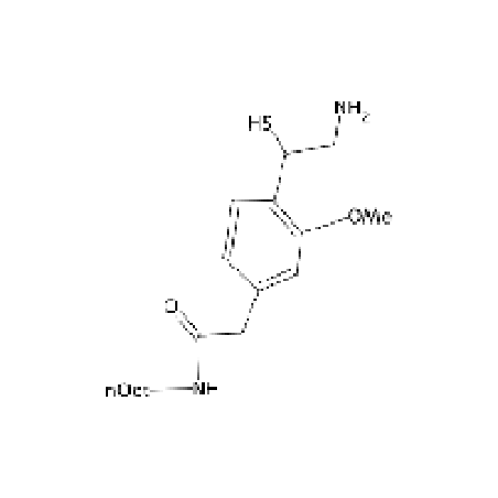 CCCCCCCCNC(=O)Cc1ccc(C(S)CN)c(OC)c1